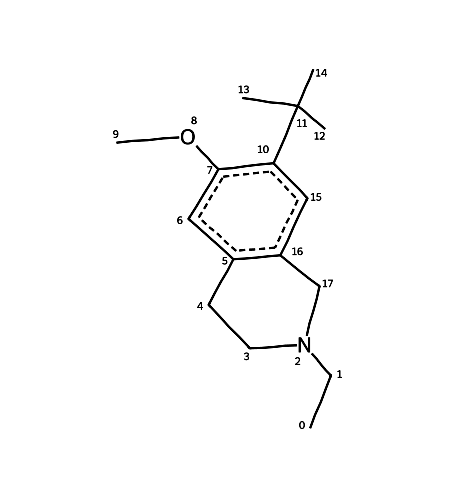 CCN1CCc2cc(OC)c(C(C)(C)C)cc2C1